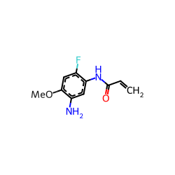 C=CC(=O)Nc1cc(N)c(OC)cc1F